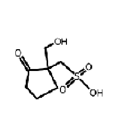 O=C1CCCC1(CO)CS(=O)(=O)O